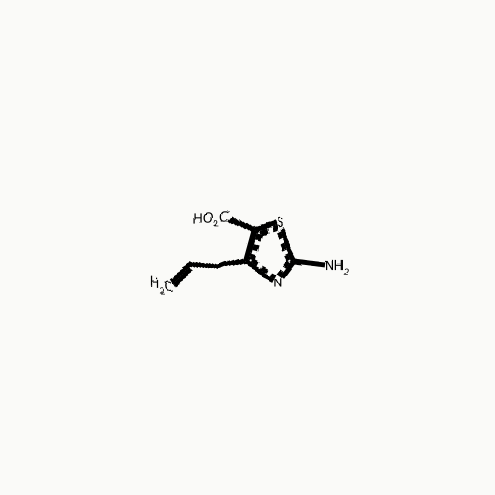 C=CCc1nc(N)sc1C(=O)O